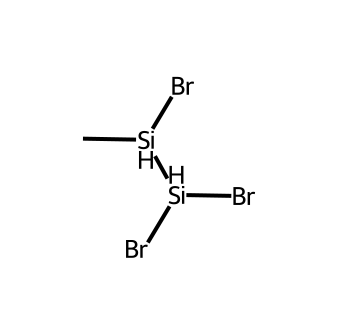 C[SiH](Br)[SiH](Br)Br